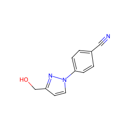 N#Cc1ccc(-n2ccc(CO)n2)cc1